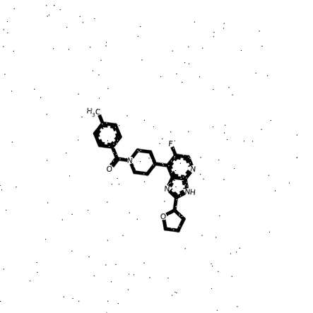 Cc1ccc(C(=O)N2CCC(c3c(F)cnc4[nH]c(C5CCCO5)nc34)CC2)cc1